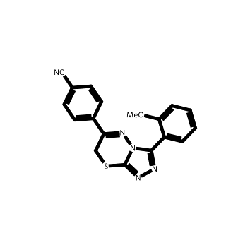 COc1ccccc1-c1nnc2n1N=C(c1ccc(C#N)cc1)CS2